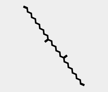 C=CCCCCCCCCCCC(=C)CCCCCCC(=C)CCCCCCCCC=C